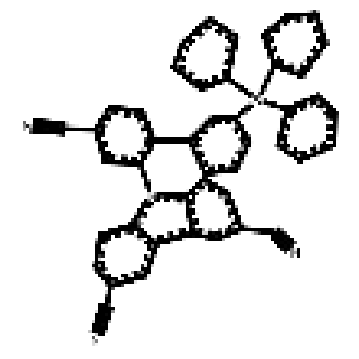 N#Cc1ccc(-c2cccc([Si](c3ccccc3)(c3ccccc3)c3ccccc3)c2)c(-n2c3ccc(C#N)cc3c3cc(C#N)ccc32)c1